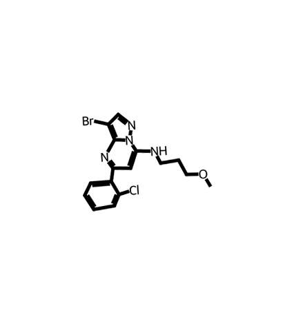 COCCCNc1cc(-c2ccccc2Cl)nc2c(Br)cnn12